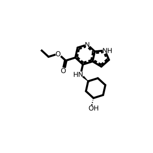 CCOC(=O)c1cnc2[nH]ccc2c1N[C@H]1CCC[C@H](O)C1